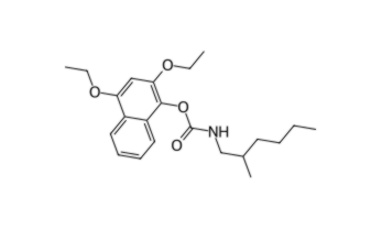 CCCCC(C)CNC(=O)Oc1c(OCC)cc(OCC)c2ccccc12